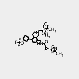 Cc1noc([C@@H]2CC2C(=O)NCc2ccc(-c3cccc(OC(F)(F)F)c3)c3c2CN(CC(=O)N2COCC2(C)C)CC3)n1